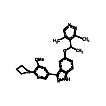 COc1cc(-c2n[nH]c3ccc(OC(C)c4c(C)cnnc4C)cc23)cnc1N1CCC1